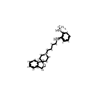 CNc1ccccc1NCCCCN1CCC2(CC1)OCc1ccccc12